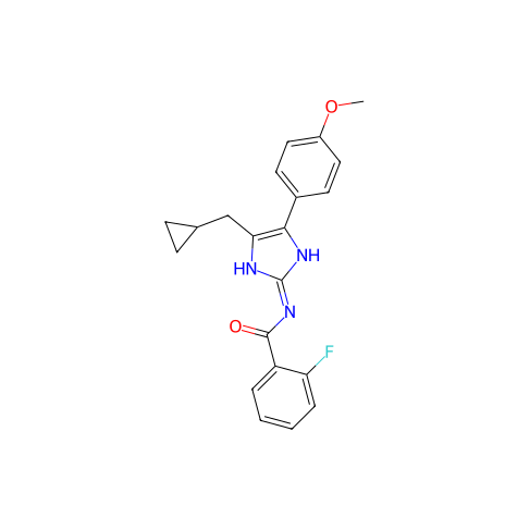 COc1ccc(-c2[nH]/c(=N/C(=O)c3ccccc3F)[nH]c2CC2CC2)cc1